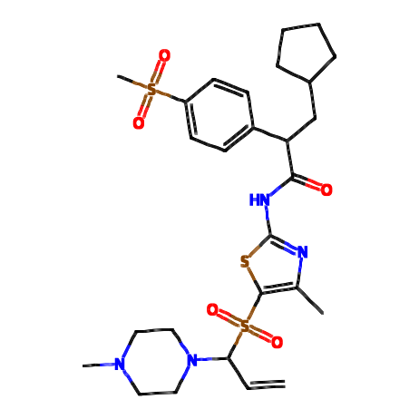 C=CC(N1CCN(C)CC1)S(=O)(=O)c1sc(NC(=O)C(CC2CCCC2)c2ccc(S(C)(=O)=O)cc2)nc1C